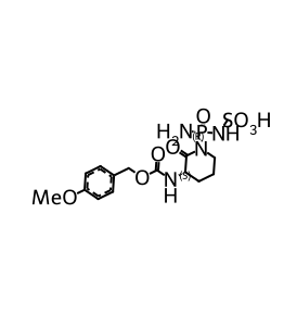 COc1ccc(COC(=O)N[C@H]2CCCN([P@@](N)(=O)NS(=O)(=O)O)C2=O)cc1